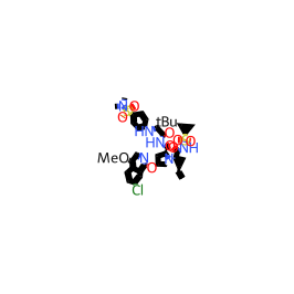 C=C[C@@H]1C[C@@]1(C(=O)NS(=O)(=O)C1CC1)N1C[C@H](Oc2ncc(OC)c3ccc(Cl)cc23)C[C@H]1C(=O)NC(=O)[C@H](Nc1ccc(S(=O)(=O)N(C)C)cc1)C(C)(C)C